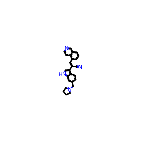 N#CC(=Cc1cccc2cnccc12)c1c[nH]c2cc(CN3CCCC3)ccc12